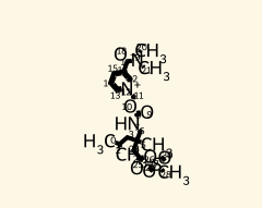 CC(C)CC(C)(CNC(=O)OC[n+]1cccc(C(=O)N(C)C)c1)CC(=O)OS(C)(=O)=O